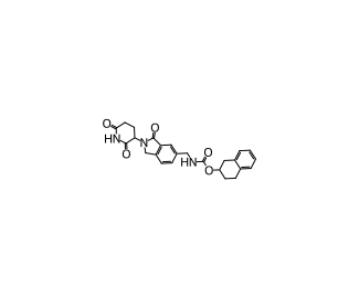 O=C1CCC(N2Cc3ccc(CNC(=O)OC4CCc5ccccc5C4)cc3C2=O)C(=O)N1